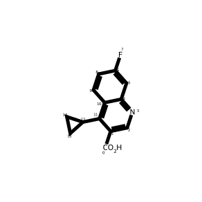 O=C(O)c1cnc2cc(F)ccc2c1C1CC1